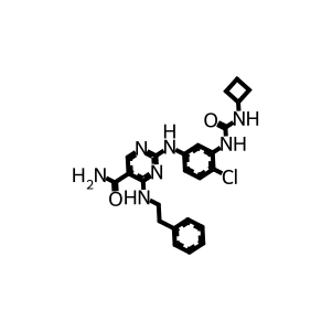 NC(=O)c1cnc(Nc2ccc(Cl)c(NC(=O)NC3CCC3)c2)nc1NCCc1ccccc1